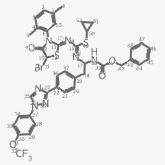 Cc1ccc(C)c(N2C(=O)C(Br)S/C2=N\C(=N\C(Cc2ccc(-c3ncn(-c4ccc(OC(F)(F)F)cc4)n3)cc2)NC(=O)OCc2ccccc2)SC2CC2)c1